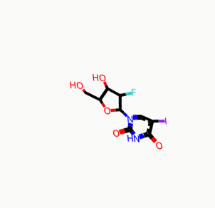 O=c1[nH]c(=O)n(C2OC(CO)C(O)C2F)cc1I